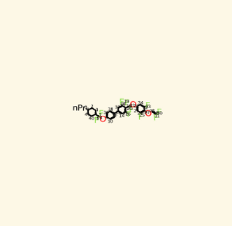 CCCC1CCC(C(F)(F)Oc2ccc(-c3cc(F)c(C(F)(F)Oc4cc(F)c(OC=C(F)F)c(F)c4)c(F)c3)cc2)CC1